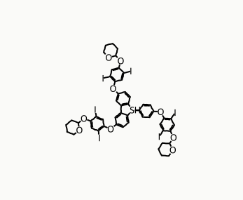 Ic1cc(OC2CCCCO2)c(I)cc1Oc1ccc([SH]2c3ccc(Oc4cc(I)c(OC5CCCCO5)cc4I)cc3-c3cc(Oc4cc(I)c(OC5CCCCO5)cc4I)ccc32)cc1